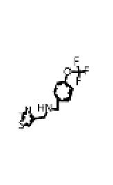 FC(F)(F)Oc1ccc(CNCc2cs[c]n2)cc1